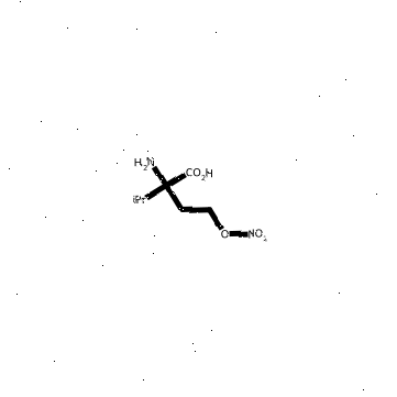 CC(C)C(N)(CCO[N+](=O)[O-])C(=O)O